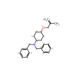 C=C(C)COC1CCC(N(Cc2ccccc2)Cc2ccccc2)CC1